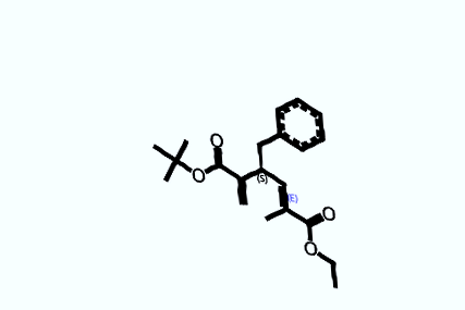 C=C(C(=O)OC(C)(C)C)[C@H](/C=C(\C)C(=O)OCC)Cc1ccccc1